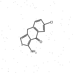 Nc1scc2c1C(=O)c1cc(Cl)ccc1C2